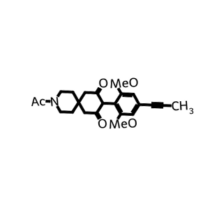 CC#Cc1cc(OC)c(C2C(=O)CC3(CCN(C(C)=O)CC3)CC2=O)c(OC)c1